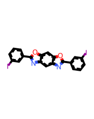 Ic1cccc(-c2nc3cc4nc(-c5cccc(I)c5)oc4cc3o2)c1